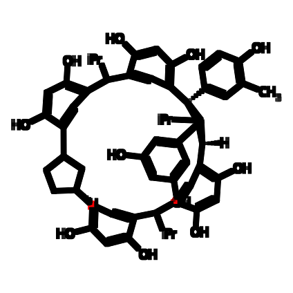 Cc1cc([C@]23C[C@H](c4cc(c(O)cc4O)C(C(C)C)c4cc(c(O)cc4O)[C@H]4CCC(C4)c4cc(c(O)cc4O)C(C(C)C)c4cc2c(O)cc4O)C3(c2cc(O)cc(O)c2)C(C)C)ccc1O